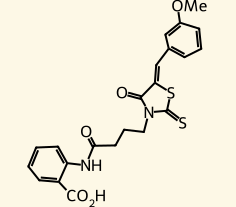 COc1cccc(/C=C2\SC(=S)N(CCCC(=O)Nc3ccccc3C(=O)O)C2=O)c1